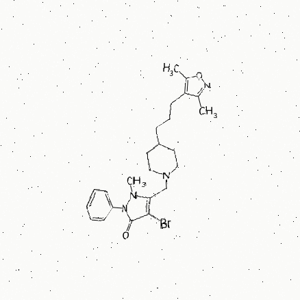 Cc1noc(C)c1CCCC1CCN(Cc2c(Br)c(=O)n(-c3ccccc3)n2C)CC1